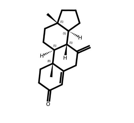 C=C1CC2=CC(=O)CC[C@]2(C)[C@H]2CC[C@]3(C)CCC[C@H]3[C@H]12